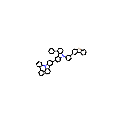 c1ccc(-c2ccccc2-n2c3ccccc3c3cc(-c4ccc5c(c4)c4c(-c6ccccc6)cccc4n5-c4cccc(-c5ccc6sc7ccccc7c6c5)c4)ccc32)cc1